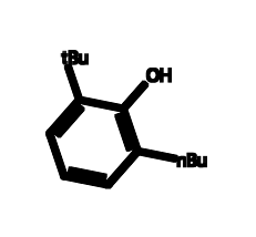 CCCCc1cccc(C(C)(C)C)c1O